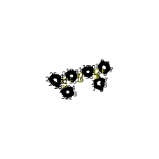 C1=CCC([S+](c2ccccc2)c2cccc(Sc3cccc([S+](c4ccccc4)c4ccccc4)c3)c2)C=C1